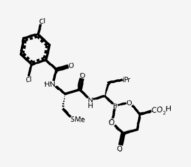 CSC[C@H](NC(=O)c1cc(Cl)ccc1Cl)C(=O)N[C@@H](CC(C)C)B1OC(=O)CC(C(=O)O)O1